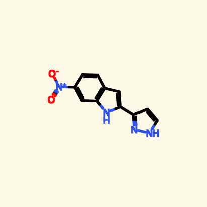 O=[N+]([O-])c1ccc2cc(-c3cc[nH]n3)[nH]c2c1